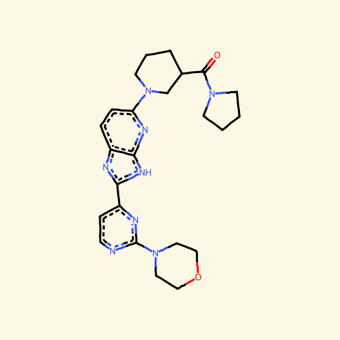 O=C(C1CCCN(c2ccc3nc(-c4ccnc(N5CCOCC5)n4)[nH]c3n2)C1)N1CCCC1